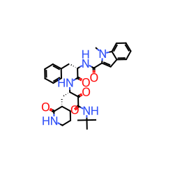 Cn1c(C(=O)N[C@@H](Cc2ccccc2)C(=O)N[C@@H](C[C@@H]2CCCNC2=O)C(=O)C(=O)NC(C)(C)C)cc2ccccc21